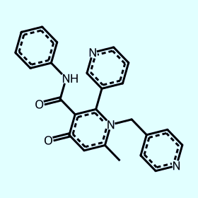 Cc1cc(=O)c(C(=O)Nc2ccccc2)c(-c2cccnc2)n1Cc1ccncc1